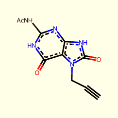 C#CCn1c(=O)[nH]c2nc(NC(C)=O)[nH]c(=O)c21